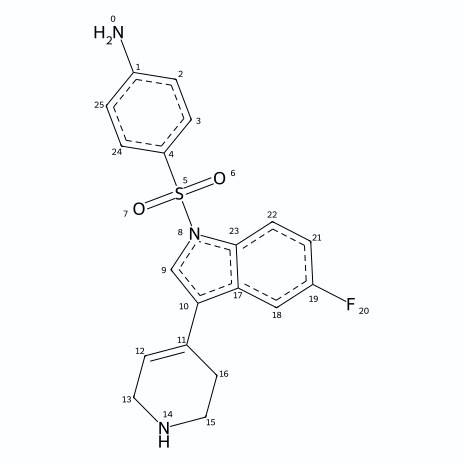 Nc1ccc(S(=O)(=O)n2cc(C3=CCNCC3)c3cc(F)ccc32)cc1